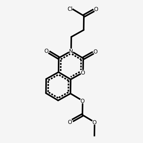 COC(=O)Oc1cccc2c(=O)n(CCC(=O)Cl)c(=O)oc12